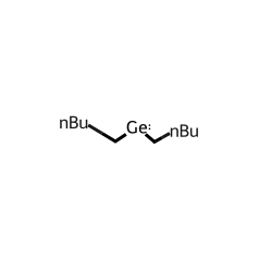 CCCC[CH2][Ge][CH2]CCCC